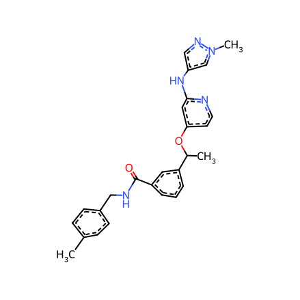 Cc1ccc(CNC(=O)c2cccc(C(C)Oc3ccnc(Nc4cnn(C)c4)c3)c2)cc1